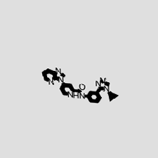 O=C(Nc1cccc(-c2nncn2C2CC2)c1)c1cc(-n2cnc3cccnc32)ccn1